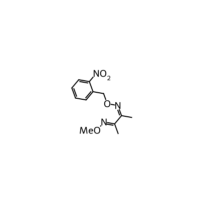 CON=C(C)C(C)=NOCc1ccccc1[N+](=O)[O-]